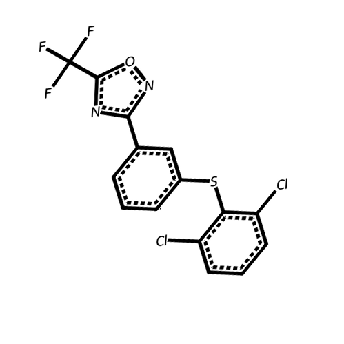 FC(F)(F)c1nc(-c2cc[c]c(Sc3c(Cl)cccc3Cl)c2)no1